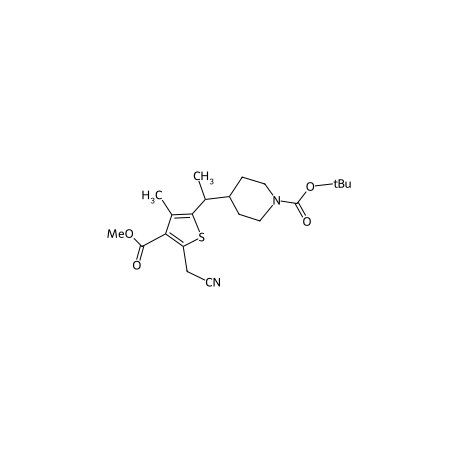 COC(=O)c1c(CC#N)sc(C(C)C2CCN(C(=O)OC(C)(C)C)CC2)c1C